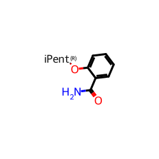 CCC[C@@H](C)Oc1ccccc1C(N)=O